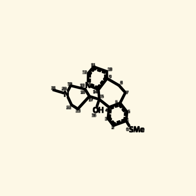 CSc1ccc2c(c1)CCc1cccnc1C2(O)C1CCN(C)CC1